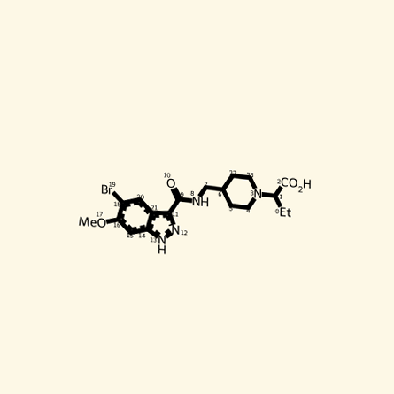 CCC(C(=O)O)N1CCC(CNC(=O)c2n[nH]c3cc(OC)c(Br)cc23)CC1